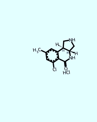 Cc1cc(Cl)c2c(c1)[C@H]1CNC[C@@H]1NC2=O.Cl